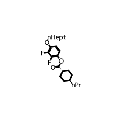 CCCCCCCOc1ccc(OC(=O)[C@H]2CC[C@H](CCC)CC2)c(F)c1F